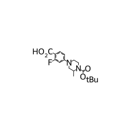 CC1CN(c2ccc(C(=O)O)c(F)c2)CCN1C(=O)OC(C)(C)C